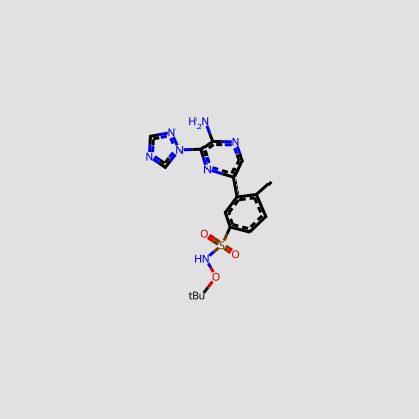 Cc1ccc(S(=O)(=O)NOC(C)(C)C)cc1-c1cnc(N)c(-n2cncn2)n1